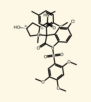 CNC(=O)[C@@H]1C[C@@H](O)C[N+]1(C)C1(c2cc(C)ccc2OC)C(=O)N(S(=O)(=O)c2cc(OC)c(OC)cc2OC)c2ccc(Cl)cc21